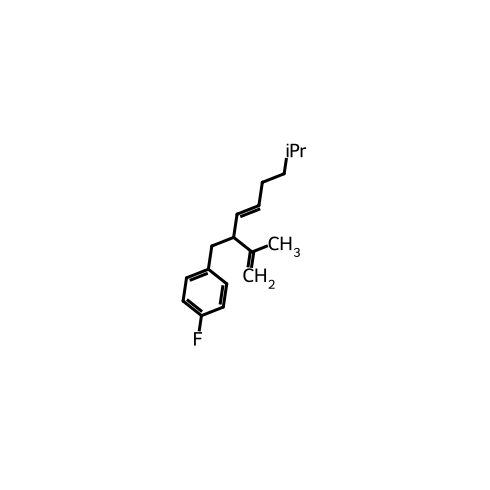 C=C(C)C(/C=C/CCC(C)C)Cc1ccc(F)cc1